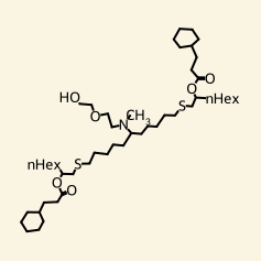 CCCCCCC(CSCCCCCC(CCCCCSCC(CCCCCC)OC(=O)CCC1CCCCC1)N(C)CCOCCO)OC(=O)CCC1CCCCC1